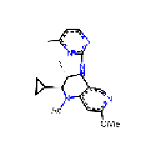 COc1cc2c(cn1)[C@H](Nc1nccc(C)n1)[C@@H](C)[C@H](C1CC1)N2C(C)=O